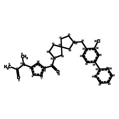 CC(=O)N(C)c1cnn(C(=O)N2CCC3(CCN(Cc4ccc(-c5ncccn5)cc4Cl)C3)C2)c1